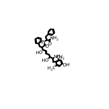 Cc1cc(O)cc(C)c1CC(N)C(O)CC=CC(O)C(Cc1ccccc1)C(=O)NC(Cc1ccccc1)C(N)=O